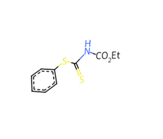 CCOC(=O)NC(=S)Sc1ccccc1